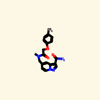 CN(Cc1ccn2ncc(C(N)=O)c2c1)C(=O)COc1ccc(C(F)(F)F)cc1